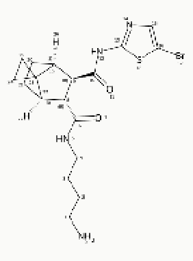 NCCCCNC(=O)[C@H]1[C@H](C(=O)Nc2ncc(Br)s2)[C@@H]2CC[C@H]1C21CC1